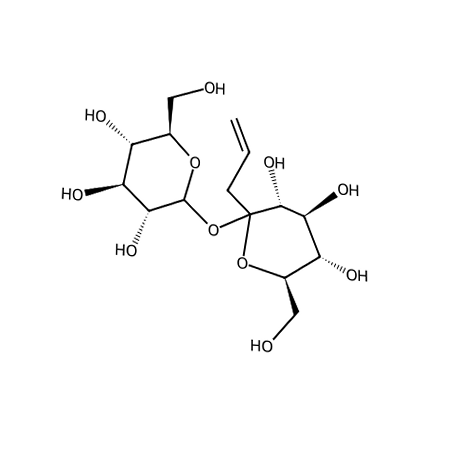 C=CCC1(OC2O[C@H](CO)[C@@H](O)[C@H](O)[C@H]2O)O[C@H](CO)[C@@H](O)[C@H](O)[C@H]1O